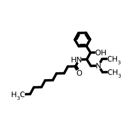 CCCCCCCCCC(=O)NC(CN(CC)CC)C(O)c1ccccc1